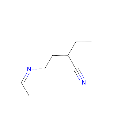 C/C=N\CCC(C#N)CC